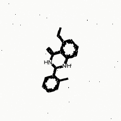 C=C1NC(c2ccccc2C)Nc2cccc(CC)c21